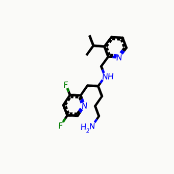 CC(C)c1cccnc1CNC(CCCN)Cc1ncc(F)cc1F